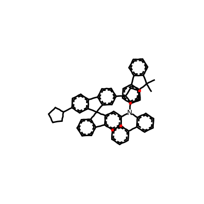 CC1(C)c2ccccc2-c2ccc(N(c3ccc4c(c3)C3(c5ccccc5-4)c4cc(C5CCCC5)ccc4-c4ccc(C5CCCC5)cc43)c3ccccc3-c3ccccc3)cc21